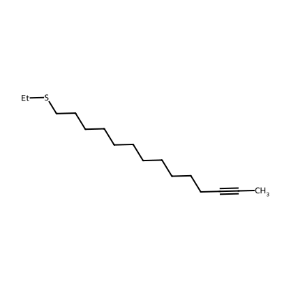 CC#CCCCCCCCCCCCSCC